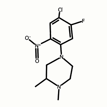 CC1CN(c2cc(F)c(Cl)cc2[N+](=O)[O-])CCN1C